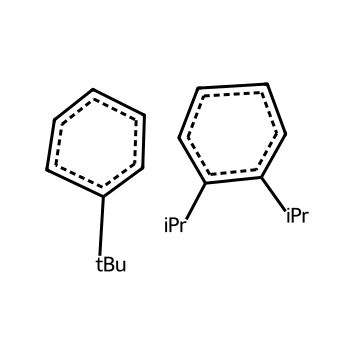 CC(C)(C)c1ccccc1.CC(C)c1ccccc1C(C)C